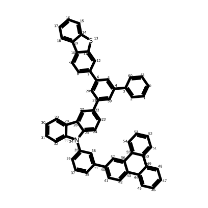 c1ccc(-c2cc(-c3ccc4c(c3)sc3ccccc34)cc(-c3ccc4c(c3)c3ccccc3n4-c3cccc(-c4ccc5c6ccccc6c6ccccc6c5c4)c3)c2)cc1